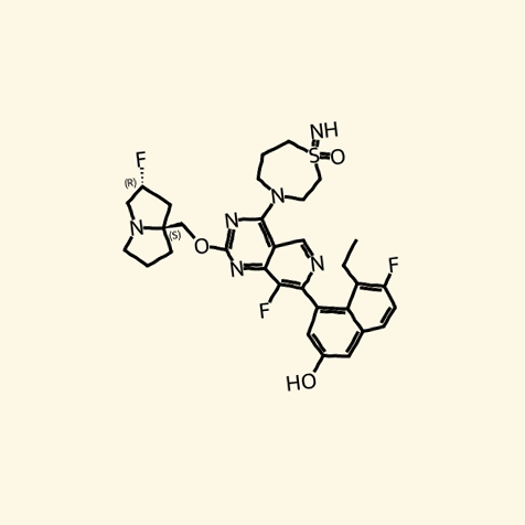 CCc1c(F)ccc2cc(O)cc(-c3ncc4c(N5CCCS(=N)(=O)CC5)nc(OC[C@@]56CCCN5C[C@H](F)C6)nc4c3F)c12